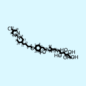 O=C(Cc1ccc(OCCCCC2CCN(c3ncc(Cl)cn3)CC2)cc1F)N1CC(CNCC(O)C(O)C(O)C(O)CO)C1